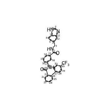 O=C(NCc1ccc2[nH]cnc2c1)c1cccc(NC(=O)c2ccccc2-c2ccc(C(F)(F)F)cc2)c1